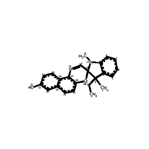 CCC1(C)c2ccccc2N(C)C12C=Nc1c(ccc3cc(O)ccc13)O2